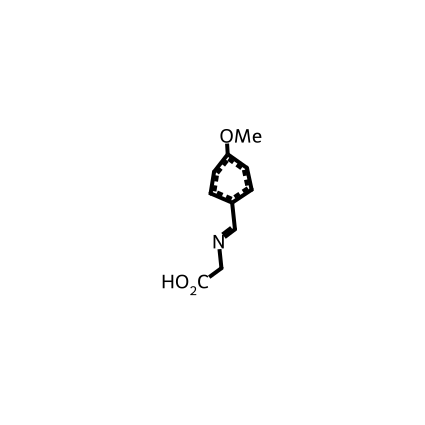 COc1ccc(C=NCC(=O)O)cc1